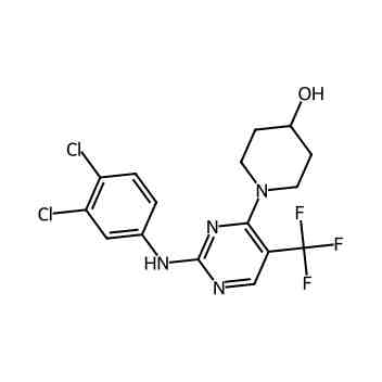 OC1CCN(c2nc(Nc3ccc(Cl)c(Cl)c3)ncc2C(F)(F)F)CC1